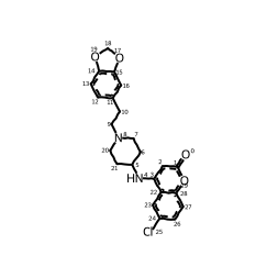 O=c1cc(NC2CCN(CCc3ccc4c(c3)OCO4)CC2)c2cc(Cl)ccc2o1